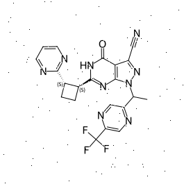 CC(c1cnc(C(F)(F)F)cn1)n1nc(C#N)c2c(=O)[nH]c([C@H]3CC[C@@H]3c3ncccn3)nc21